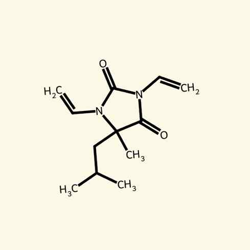 C=CN1C(=O)N(C=C)C(C)(CC(C)C)C1=O